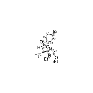 CCOc1nnc([C@@H](C)NS(=O)(=O)c2ccc(Br)cc2)n1CC